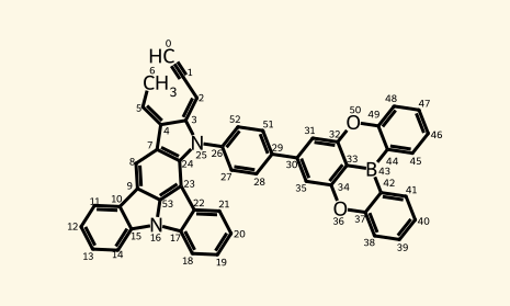 C#C/C=c1\c(=C/C)c2cc3c4ccccc4n4c5ccccc5c(c2n1-c1ccc(-c2cc5c6c(c2)Oc2ccccc2B6c2ccccc2O5)cc1)c34